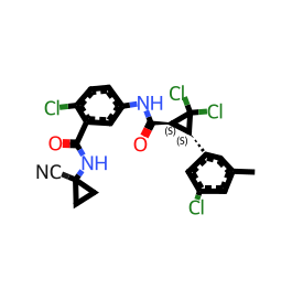 Cc1cc(Cl)cc([C@@H]2[C@@H](C(=O)Nc3ccc(Cl)c(C(=O)NC4(C#N)CC4)c3)C2(Cl)Cl)c1